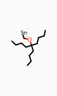 CCCCC(CCCC)(CCCC)O[CH2][Sn]